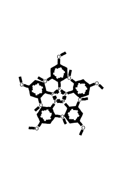 COc1ccc(-p2p(-c3ccc(OC)cc3OC)p(-c3ccc(OC)cc3OC)p(-c3ccc(OC)cc3OC)p2-c2ccc(OC)cc2OC)c(OC)c1